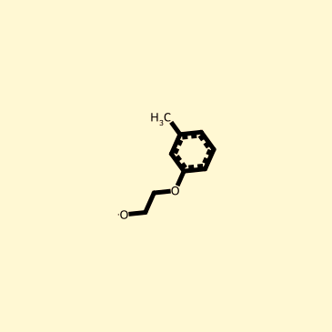 Cc1cccc(OCC[O])c1